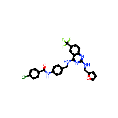 O=C(Nc1ccc(CNc2nc(NCc3ccco3)nc3ccc(C(F)(F)F)cc23)cc1)c1ccc(Cl)cc1